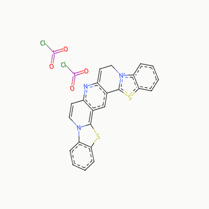 C1=CN2C(=c3cc4c(nc31)=CC[n+]1c-4sc3ccccc31)Sc1ccccc12.O=I(=O)Cl.O=I(=O)Cl